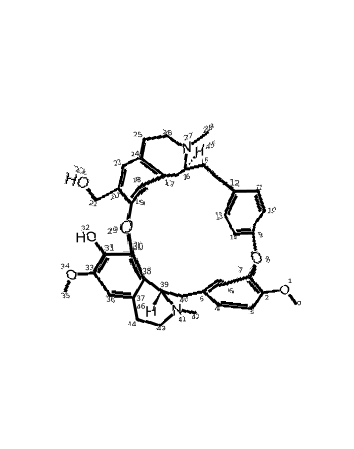 COc1ccc2cc1Oc1ccc(cc1)C[C@H]1c3cc(c(CO)cc3CCN1C)Oc1c(O)c(OC)cc3c1[C@H](C2)N(C)CC3